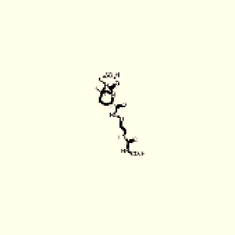 O=C(O)NC(=O)NCCONC(=O)[C@@H]1CC[C@@H]2CN1C(=O)N2OS(=O)(=O)O